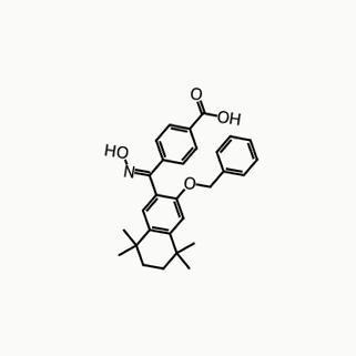 CC1(C)CCC(C)(C)c2cc(C(=NO)c3ccc(C(=O)O)cc3)c(OCc3ccccc3)cc21